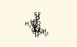 Cn1cc2c(c1C(=O)Nc1ccc(F)c(F)c1)OCC(C)(C)NS2(=O)=O